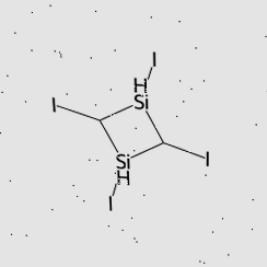 IC1[SiH](I)C(I)[SiH]1I